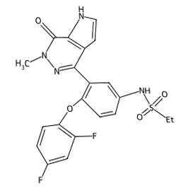 CCS(=O)(=O)Nc1ccc(Oc2ccc(F)cc2F)c(-c2nn(C)c(=O)c3[nH]ccc23)c1